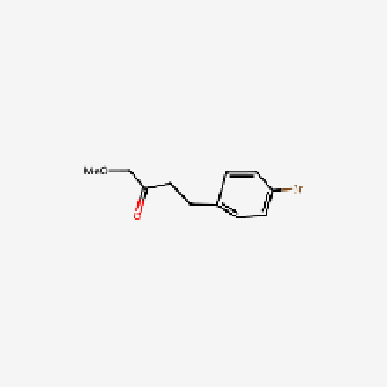 COCC(=O)CCc1ccc(Br)cc1